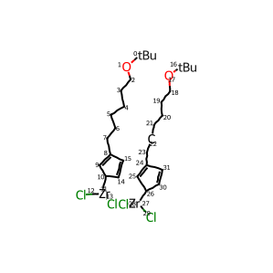 CC(C)(C)OCCCCCCC1=C[CH]([Zr]([Cl])[Cl])C=C1.CC(C)(C)OCCCCCCC1=C[CH]([Zr]([Cl])[Cl])C=C1